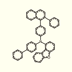 c1ccc(-c2ccc(N(c3ccc(-c4c(-c5ccccc5)ccc5ccccc45)cc3)c3cccc4oc5ccccc5c34)cc2)cc1